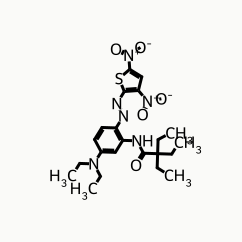 CCN(CC)c1ccc(N=Nc2sc([N+](=O)[O-])cc2[N+](=O)[O-])c(NC(=O)C(CC)(CC)CC)c1